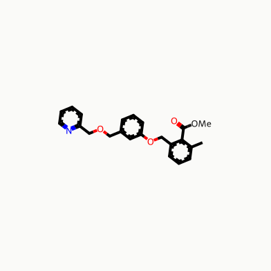 COC(=O)c1c(C)cccc1COc1cccc(COCc2ccccn2)c1